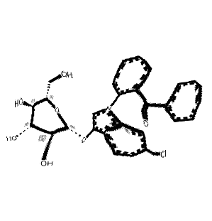 O=C(c1ccccc1)c1ccccc1-n1cc(O[C@H]2O[C@@H](CO)[C@H](O)[C@@H](O)[C@@H]2O)c2ccc(Cl)cc21